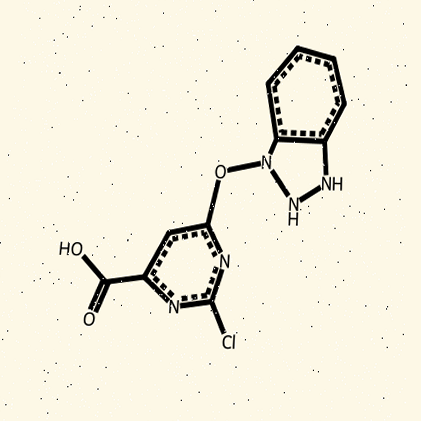 O=C(O)c1cc(ON2NNc3ccccc32)nc(Cl)n1